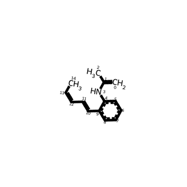 C=C(C)Nc1ccccc1/C=C/C=C\C